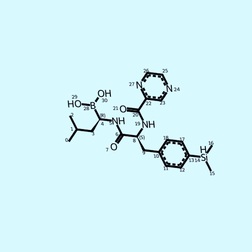 CC(C)C[C@H](NC(=O)[C@H](Cc1ccc([SiH](C)C)cc1)NC(=O)c1cnccn1)B(O)O